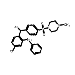 CC(=O)C(c1ccc(S(=O)(=O)N2CCN(C)CC2)cc1)c1ccc(Cl)cc1Nc1ccccc1